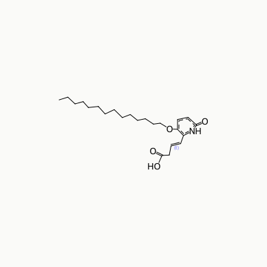 CCCCCCCCCCCCCCOc1ccc(=O)[nH]c1/C=C/CC(=O)O